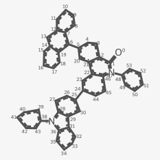 O=c1c2ccc(-c3c4ccccc4cc4ccccc34)cc2c2cc(-c3ccc4c(c3)c3ccccc3n4-c3ccccc3)ccc2n1-c1ccccc1